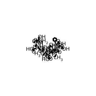 CC(C)C[C@H](NC(=O)[C@H](CC(C)C)NC(=O)[C@H](CCC(=O)O)NC(=O)[C@@H](NC(=O)[C@H](C)NC(=O)[C@H](CCC(=O)O)NC(=O)[C@H](CO)NC(=O)[C@@H](N)CO)[C@@H](C)O)C(=O)N[C@@H](CC(=O)O)C(=O)N[C@@H](Cc1ccccc1)C(=O)O